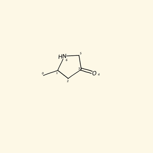 CC1CC(=O)CN1